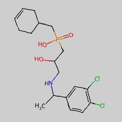 CC(NCC(O)CP(=O)(O)CC1CC=CCC1)c1ccc(Cl)c(Cl)c1